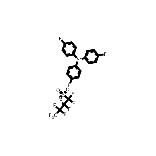 Fc1ccc([S+](c2ccc(F)cc2)c2ccc(F)cc2)cc1.O=S(=O)([O-])C(F)(F)C(F)(F)C(F)(F)C(F)(F)F